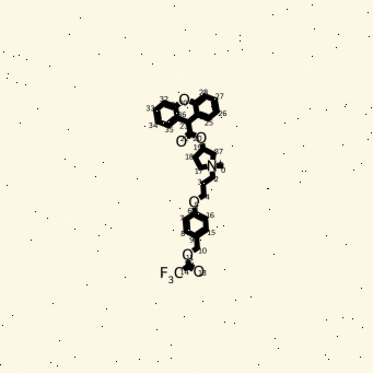 C[N+]1(CCCOc2ccc(COC(=O)C(F)(F)F)cc2)CCC(OC(=O)C2c3ccccc3Oc3ccccc32)C1